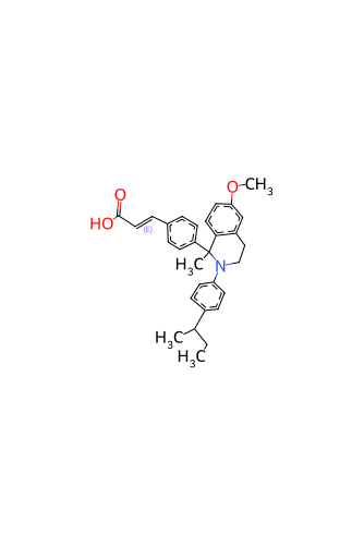 CCC(C)c1ccc(N2CCc3cc(OC)ccc3C2(C)c2ccc(/C=C/C(=O)O)cc2)cc1